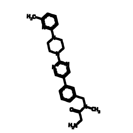 Cc1cccc(N2CCN(c3ncc(-c4cccc(CN(C)C(=O)CN)c4)cn3)CC2)n1